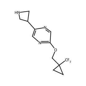 FC(F)(F)C1(COc2cnc(C3CNC3)cn2)CC1